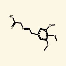 COc1cc(C/C=N/CC(=O)O)cc(OC)c1OC